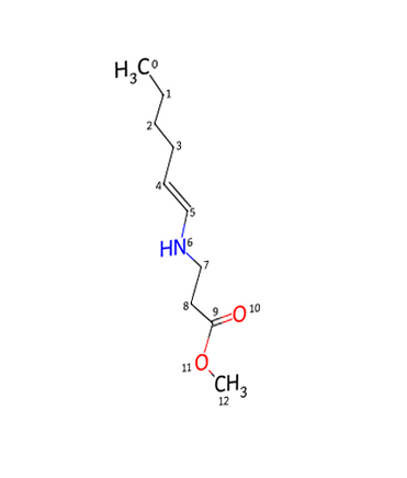 CCCCC=CNCCC(=O)OC